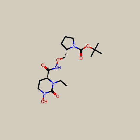 CCN1C(=O)N(O)CC[C@H]1C(=O)NOC[C@@H]1CCCN1C(=O)OC(C)(C)C